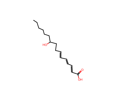 CCCCCCC(O)CCC=CC=CC=CC(=O)O